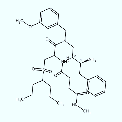 CCCC(CCC)S(=O)(=O)CC(NC(=O)CCC(=O)NC)C(=O)N(Cc1cccc(OC)c1)C[C@@H](O)[C@@H](N)Cc1ccccc1